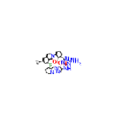 CN1CCCCC1Cn1cc(Nc2nc(N)nc(-c3cccc(-n4ccc5cc(C6CC6)cc(F)c5c4=O)c3CO)n2)cn1